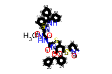 CON=C(C(=O)NC1C(=O)N2C(C(=O)OC(c3ccccc3)c3ccccc3)=C(C=CSc3cccc[n+]3[O-])CSC12)c1csc(NC(c2ccccc2)(c2ccccc2)c2ccccc2)n1